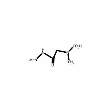 CNNC(=O)CN(C)C(=O)O